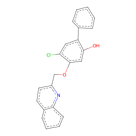 Oc1cc(OCc2ccc3ccccc3n2)c(Cl)cc1-c1ccccc1